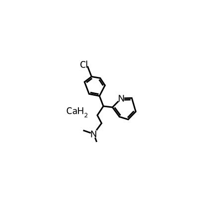 CN(C)CCC(c1ccc(Cl)cc1)c1ccccn1.[CaH2]